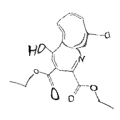 CCOC(=O)c1nc2c(Cl)cccc2c(O)c1C(=O)OCC